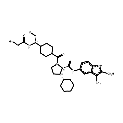 Cc1c(C(=O)O)[nH]c2ccc(NC(=O)[C@@H]3[C@H](C4CCCCC4)CCN3C(=O)C3CCC([C@@H](CF)NC(=O)OC(C)(C)C)CC3)cc12